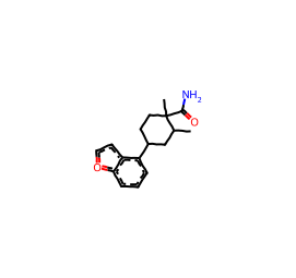 CC1CC(c2cccc3occc23)CCC1(C)C(N)=O